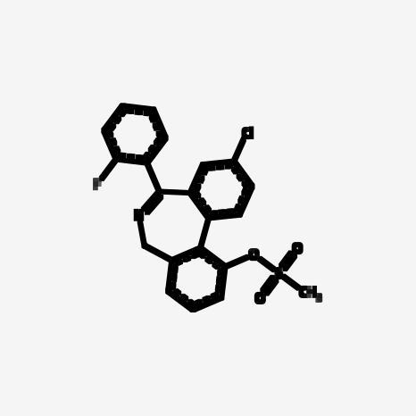 CS(=O)(=O)Oc1cccc2c1-c1ccc(Cl)cc1C(c1ccccc1F)=NC2